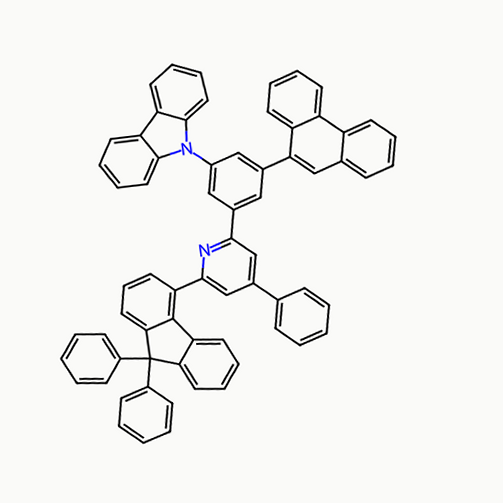 c1ccc(-c2cc(-c3cc(-c4cc5ccccc5c5ccccc45)cc(-n4c5ccccc5c5ccccc54)c3)nc(-c3cccc4c3-c3ccccc3C4(c3ccccc3)c3ccccc3)c2)cc1